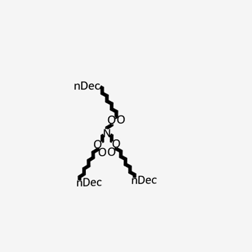 CCCCCCCCCCCCCCCCCC(=O)OCCN(CCOC(=O)CCCCCCCCCCCCCCCCC)CCOC(=O)CCCCCCCCCCCCCCCCC